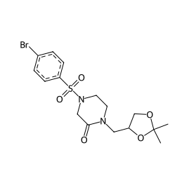 CC1(C)OCC(CN2CCN(S(=O)(=O)c3ccc(Br)cc3)CC2=O)O1